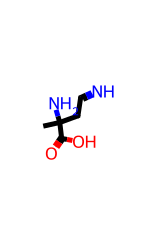 CC(N)(CC=N)C(=O)O